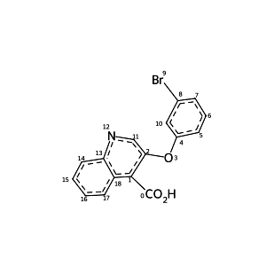 O=C(O)c1c(Oc2cccc(Br)c2)cnc2ccccc12